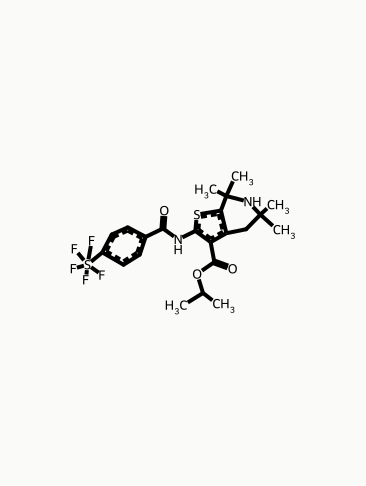 CC(C)OC(=O)c1c(NC(=O)c2ccc(S(F)(F)(F)(F)F)cc2)sc2c1CC(C)(C)NC2(C)C